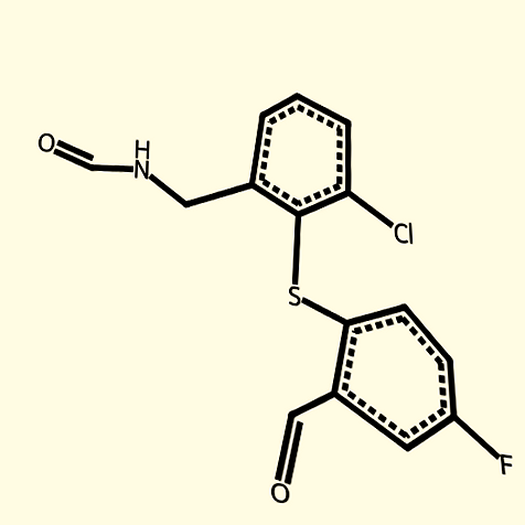 O=CNCc1cccc(Cl)c1Sc1ccc(F)cc1C=O